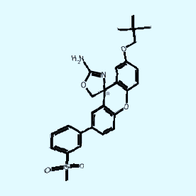 CC(C)(C)COc1ccc2c(c1)[C@]1(COC(N)=N1)c1cc(-c3cccc(S(C)(=O)=O)c3)ccc1O2